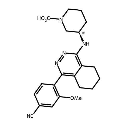 COc1cc(C#N)ccc1-c1nnc(N[C@@H]2CCCN(C(=O)O)C2)c2c1CCCC2